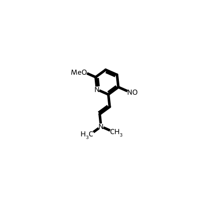 COc1ccc(N=O)c(/C=C/N(C)C)n1